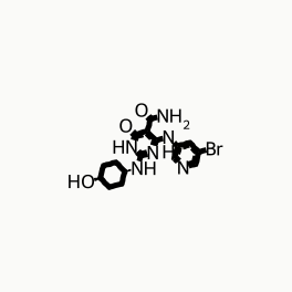 NC(=O)c1c(Nc2cncc(Br)c2)nc(N[C@H]2CC[C@H](O)CC2)[nH]c1=O